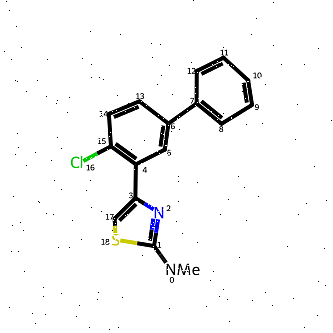 CNc1nc(-c2cc(-c3ccccc3)ccc2Cl)cs1